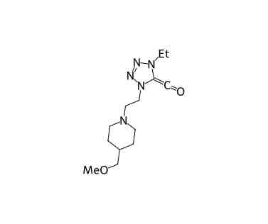 CCN1N=NN(CCN2CCC(COC)CC2)C1=C=O